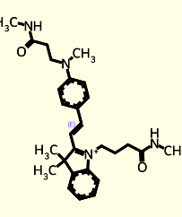 CNC(=O)CCC[N+]1=C(/C=C/c2ccc(N(C)CCC(=O)NC)cc2)C(C)(C)c2ccccc21